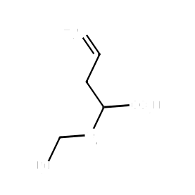 C=CCC(OCC(C)CC)C(=O)O